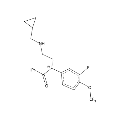 CC(C)C(=O)[C@H](CCNCC1CC1)c1ccc(OC(F)(F)F)c(F)c1